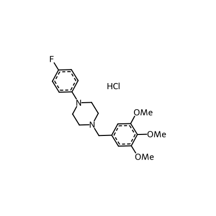 COc1cc(CN2CCN(c3ccc(F)cc3)CC2)cc(OC)c1OC.Cl